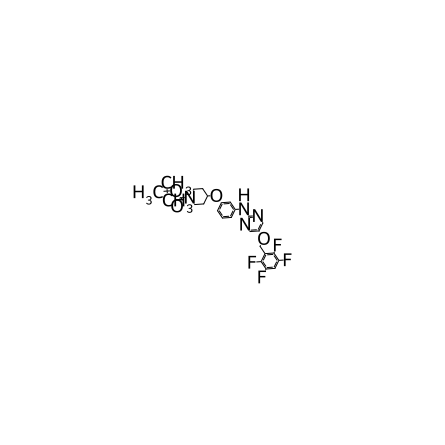 CC(C)(C)OC(=O)N1CCC(Oc2cccc(Nc3ncc(OCc4c(F)c(F)cc(F)c4F)cn3)c2)CC1